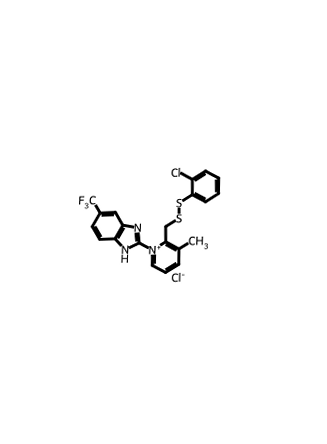 Cc1ccc[n+](-c2nc3cc(C(F)(F)F)ccc3[nH]2)c1CSSc1ccccc1Cl.[Cl-]